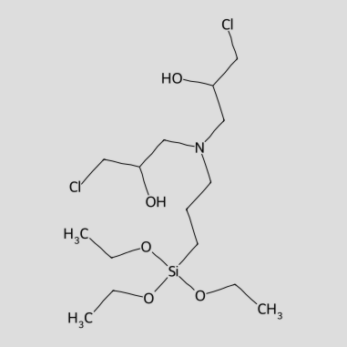 CCO[Si](CCCN(CC(O)CCl)CC(O)CCl)(OCC)OCC